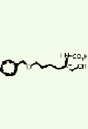 O=C(O)N[C@H](CO)CCCCOCc1ccccc1